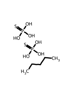 CCCCC.OP(O)(O)=S.OP(O)(O)=S